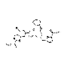 COC(=O)c1cccc(CN(CCO)CCO[C@@H]2CCCC[C@H]2OCCN(CCO)Cc2cccc(C(=O)OC)n2)n1